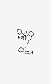 O=C(O)c1ccccc1CCCCCc1ccccc1NS(=O)(=O)c1ccccc1[N+](=O)[O-]